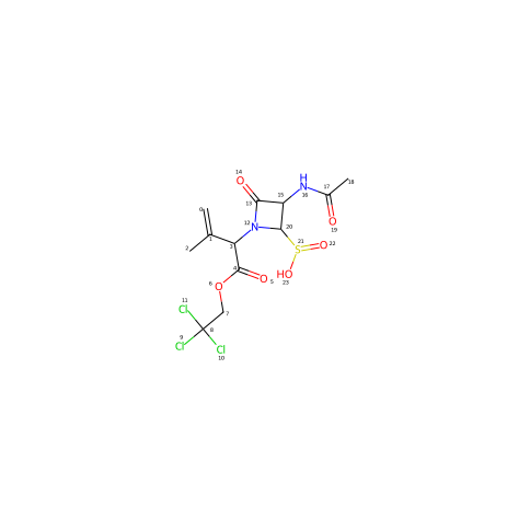 C=C(C)C(C(=O)OCC(Cl)(Cl)Cl)N1C(=O)C(NC(C)=O)C1S(=O)O